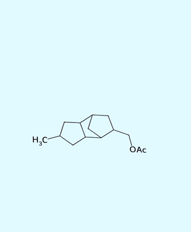 CC(=O)OCC1CC2CC1C1CC(C)CC21